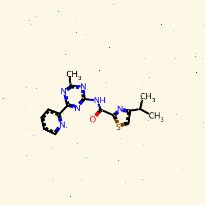 Cc1nc(NC(=O)c2nc(C(C)C)cs2)nc(-c2ccccn2)n1